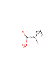 C[14C](=O)C(=O)O